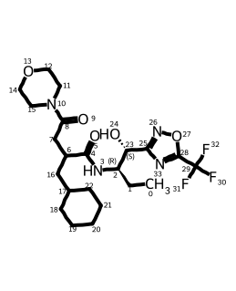 CC[C@@H](NC(=O)C(CC(=O)N1CCOCC1)CC1CCCCC1)[C@H](O)c1noc(C(F)(F)F)n1